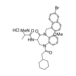 CNC(C)C(=O)NC1CN(C(=O)CC2CCCCC2)c2ccccc2N(Cc2c(OC)ccc3cc(Br)ccc23)C1=O.Cl